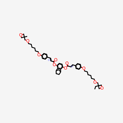 CCC1(COCCCCCCOc2ccc(/C=C/C(=O)Oc3ccc(OC(=O)/C=C/c4ccc(OCCCCCCOCC5(C)COC5)cc4)c4c3C3CCC4C3)cc2)COC1